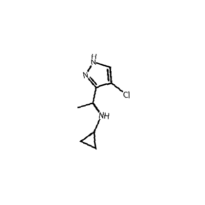 CC(NC1CC1)c1n[nH]cc1Cl